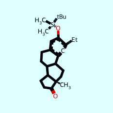 CCc1cc2c(cc1O[Si](C)(C)C(C)(C)C)CCC1C2CC[C@]2(C)C(=O)CCC12